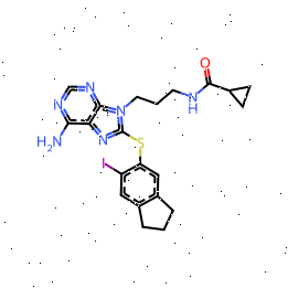 Nc1ncnc2c1nc(Sc1cc3c(cc1I)CCC3)n2CCCNC(=O)C1CC1